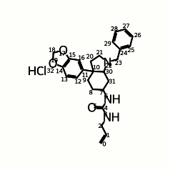 C=CCNC(=O)NC1CCC2(c3ccc4c(c3)OCO4)CCN(Cc3ccccc3)C2C1.Cl